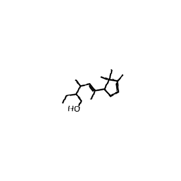 CCC(CO)C(C)/C=C(\C)C1CC=C(C)C1(C)C